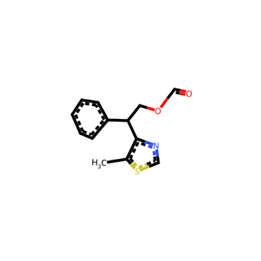 Cc1scnc1C(COC=O)c1ccccc1